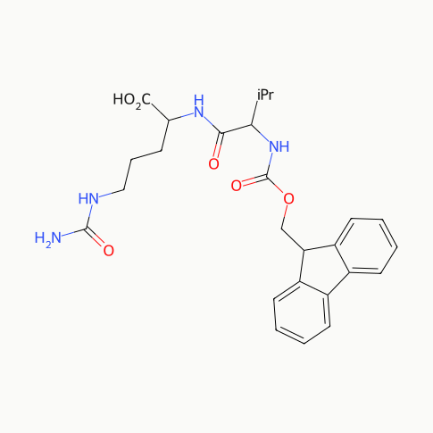 CC(C)C(NC(=O)OCC1c2ccccc2-c2ccccc21)C(=O)NC(CCCNC(N)=O)C(=O)O